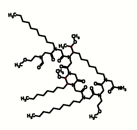 CCCCCCCCCCN(CC(N)=O)C(=O)CN(CCOC)C(=O)CN(CCCCCCCCCC)C(=O)CN(CCOC)C(=O)CN(CCCCCCCCCC)C(=O)CN(CCOC)C(=O)CN(CCCCCCCCCC)C(=O)CN(C=O)CCOC